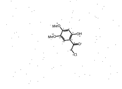 COc1cc(O)c(C(=O)CCl)cc1OC